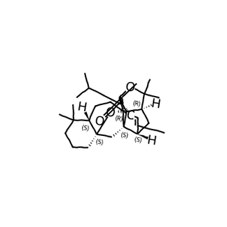 CC1=CC[C@]23CC[C@H]4C(C)(C)CCC[C@]45C[C@]24[C@H]1C[C@@H]1C(C)(C)OC(=C(C(C)C)C3=O)[C@@]14O5